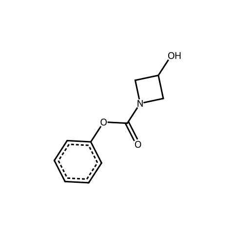 O=C(Oc1ccccc1)N1CC(O)C1